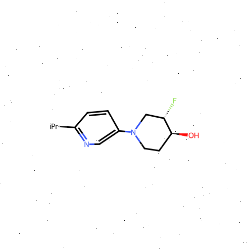 CC(C)c1ccc(N2CC[C@H](O)[C@@H](F)C2)cn1